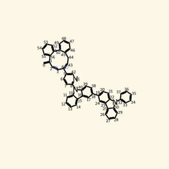 C=C1/C=C\C(c2ccc(-n3c4ccccc4c4cc(-c5ccc6c(c5)c5ccccc5n6-c5ccccc5)ccc43)nc2)=C/Cc2ccccc2-c2ccccc21